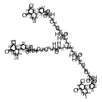 CN1Cc2c(Cl)cc(Cl)cc2[C@H](c2cccc(S(=O)(=O)NCCOCCOCCNC(=O)NCCCN(CCCNC(=O)NCCOCCOCCNS(=O)(=O)c3cccc([C@@H]4CN(C)Cc5c(Cl)cc(Cl)cc54)c3)CCCNC(=O)NCCOCCOCCNS(=O)(=O)c3cccc([C@@H]4CN(C)Cc5c(Cl)cc(Cl)cc54)c3)c2)C1